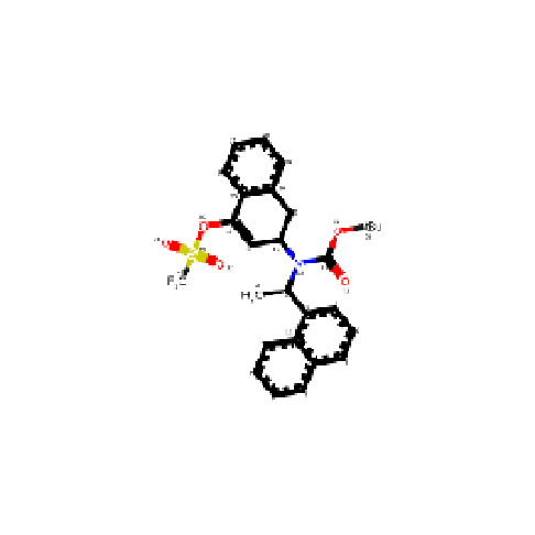 C[C@H](c1cccc2ccccc12)N(C(=O)OC(C)(C)C)C1C=C(OS(=O)(=O)C(F)(F)F)c2ccccc2C1